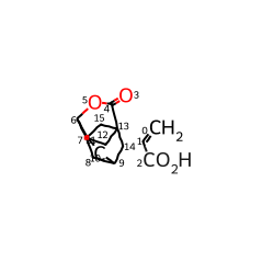 C=CC(=O)O.O=C1OC2C3CC4CC2CC1(C4)C3